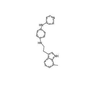 Cc1cccc2c(CCNc3ccc(Nc4ccncc4)cc3)c[nH]c12